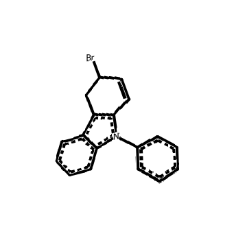 BrC1C=Cc2c(c3ccccc3n2-c2ccccc2)C1